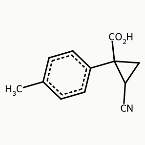 Cc1ccc(C2(C(=O)O)CC2C#N)cc1